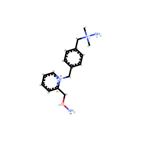 C[N+](C)(N)Cc1ccc(C[n+]2ccccc2CON)cc1